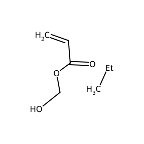 C=CC(=O)OCO.CCC